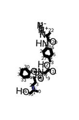 C/C(=C\CCP(=O)(N[C@@H](C)C(=O)OCc1ccc(NC(=O)C(C)N=[N+]=[N-])cc1)Oc1ccccc1)CO